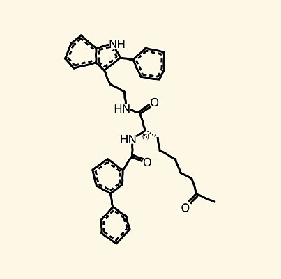 CC(=O)CCCCC[C@H](NC(=O)c1cccc(-c2ccccc2)c1)C(=O)NCCc1c(-c2ccccc2)[nH]c2ccccc12